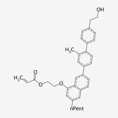 C=CC(=O)OCCOc1cc(CCCCC)cc2ccc(-c3ccc(-c4ccc(CCO)cc4)c(C)c3)cc12